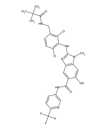 Cn1c(Nc2c(Cl)ccc(CNC(=O)C(C)(C)C)c2Cl)nc2cc(C(=O)Nc3ccc(C(F)(F)F)nc3)c(O)cc21